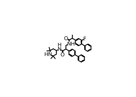 CC(C(=O)NCC(C(=O)NC1CC(C)(C)NC(C)(C)C1)c1ccc(-c2ccccc2)cc1)c1ccc(-c2ccccc2)c(F)c1